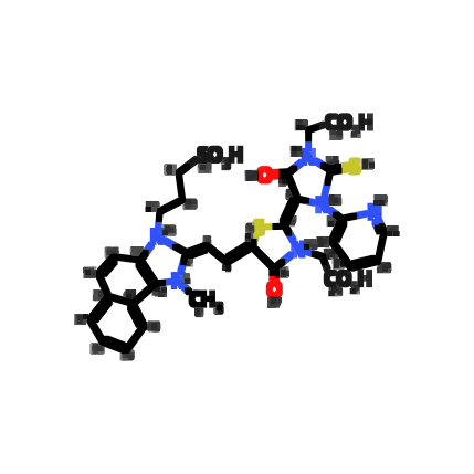 CN1C(=CC=c2s/c(=C3\C(=O)N(CC(=O)O)C(=S)N3c3ccccn3)n(CC(=O)O)c2=O)N(CCCS(=O)(=O)O)c2ccc3ccccc3c21